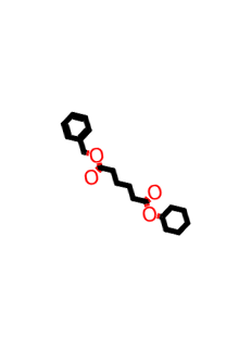 O=C(CCCCC(=O)OC1CCCCC1)OCc1ccccc1